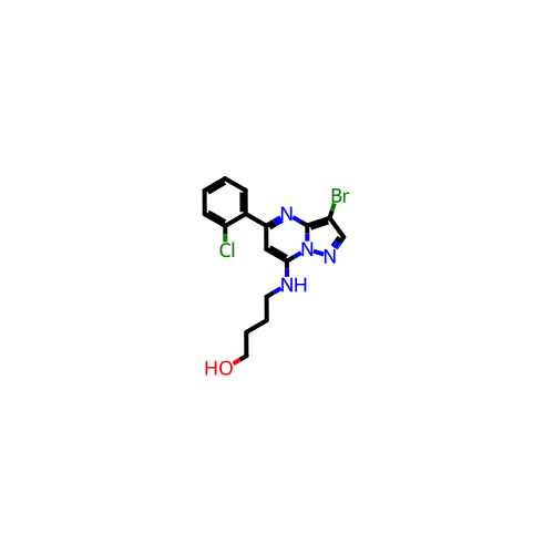 OCCCCNc1cc(-c2ccccc2Cl)nc2c(Br)cnn12